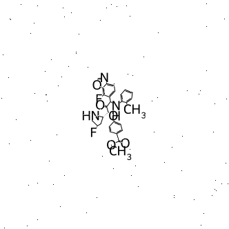 COC(=O)c1ccc(OC(C(=O)C(Nc2ccccc2C)c2ccc3ncoc3c2F)[C@@H]2C[C@H](F)CN2)cc1